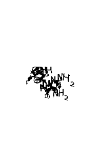 C#C[C@]1(CO)O[C@@H](n2nc(C)c3c(N)nc(N)nc32)C[C@@H]1O